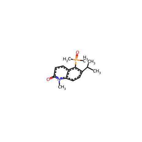 CC(C)c1ccc2c(ccc(=O)n2C)c1P(C)(C)=O